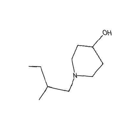 CCC(C)CN1CCC(O)CC1